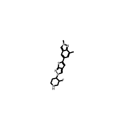 Cc1cc(-c2cc3cn(C4CCNCC4F)nc3s2)cc2cn(C)nc12